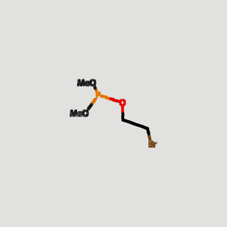 COP(OC)OCCBr